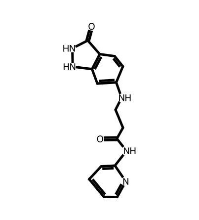 O=C(CCNc1ccc2c(=O)[nH][nH]c2c1)Nc1ccccn1